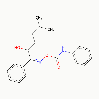 CC(C)CCC(O)C(=NOC(=O)Nc1ccccc1)c1ccccc1